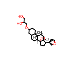 C[C@]12CCC(OCC(O)CO)CC1CC[C@@H]1[C@H]2CC[C@]2(C)C(c3ccoc3)CC[C@@]12O